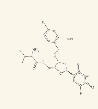 CC(C)[C@H](N)C(=O)OC[C@@H]1O[C@H](n2cc(F)c(=O)[nH]c2=O)CC1OCc1ccc(Cl)cc1.Cl